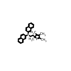 CC1=PC(C)(CCP(c2ccc3ccccc3c2)c2ccc3ccccc3c2)C(C)=C1C